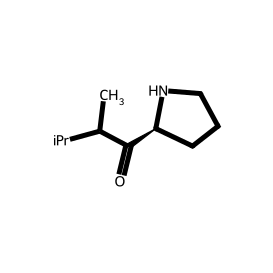 CC(C)C(C)C(=O)[C@@H]1CCCN1